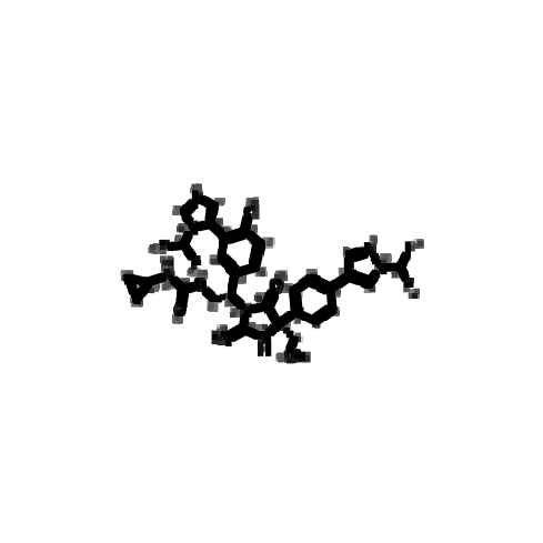 CC(C)(C)C[C@]1(c2ccc(-c3cnn(C(F)F)c3)cc2)NC(=N)N([C@H](COC(=O)NC2CC2)c2ccc(Cl)c(-c3cncn3C(F)F)c2)C1=O